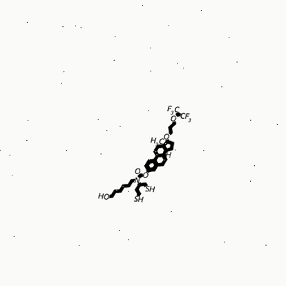 CC12CCC3c4ccc(OC(=O)N(CCCCCCO)C(CS)CCS)cc4CC[C@H]3C1CCC2OCCCOC(C(F)(F)F)C(F)(F)F